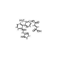 Cc1cccnc1-c1ccccc1NCC1=NCCN1.O=C(O)C=CC(=O)O